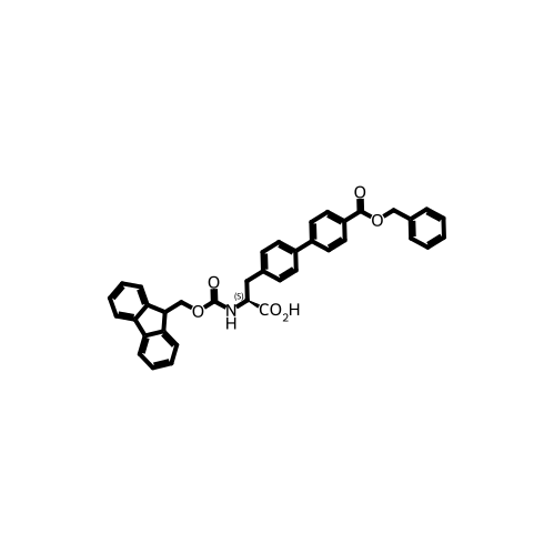 O=C(N[C@@H](Cc1ccc(-c2ccc(C(=O)OCc3ccccc3)cc2)cc1)C(=O)O)OCC1c2ccccc2-c2ccccc21